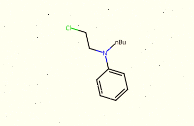 CCCCN(CCCl)c1ccccc1